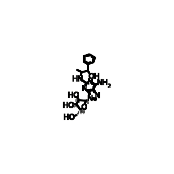 CC(Nc1nc(N)c2ncn([C@@H]3O[C@H](CO)[C@@H](O)[C@H]3O)c2n1)C(O)c1ccccc1